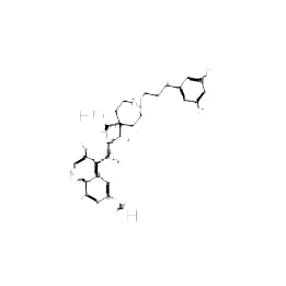 COc1ccc2ncc(Cl)c([C@H](F)CCC3(C(=O)O)CCN(CCCc4cc(F)cc(F)c4)CC3)c2c1